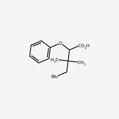 CC(C)(C)CC(C)(C)C(Oc1ccccc1)C(=O)O